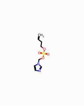 C=CCCOS(=O)(=O)OCn1ccnc1